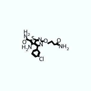 NC(=O)CCCOc1nc(-c2cccc(Cl)c2)c2c(N)c(C(N)=O)sc2n1